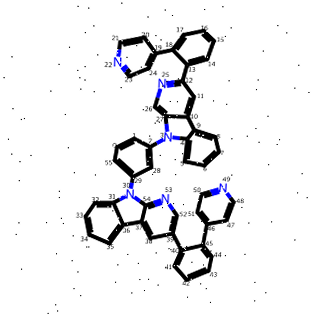 c1cc(-n2c3ccccc3c3cc(-c4ccccc4-c4ccncc4)ncc32)cc(-n2c3ccccc3c3cc(-c4ccccc4-c4ccncc4)cnc32)c1